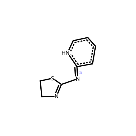 c1cc/c(=N/C2=NCCS2)[nH]c1